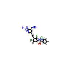 N=Cc1cc(C#Cc2c(F)ccc(N[S+]([O-])c3ccccc3Cl)c2F)cnc1N